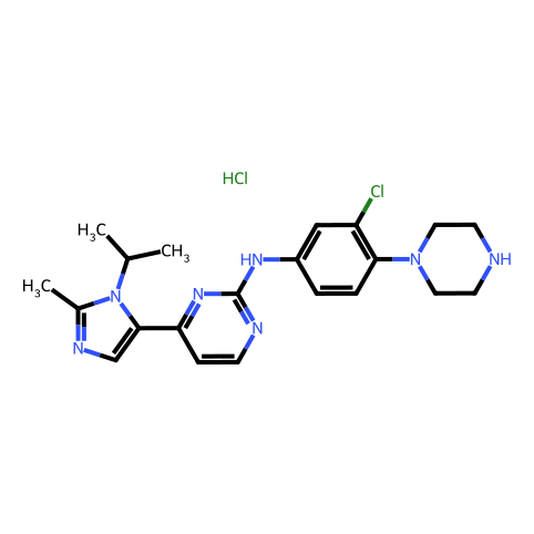 Cc1ncc(-c2ccnc(Nc3ccc(N4CCNCC4)c(Cl)c3)n2)n1C(C)C.Cl